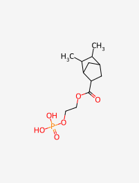 CC1C2CC(C(=O)OCCOP(=O)(O)O)C(C2)C1C